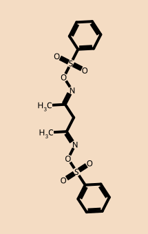 C/C(C/C(C)=N/OS(=O)(=O)c1ccccc1)=N\OS(=O)(=O)c1ccccc1